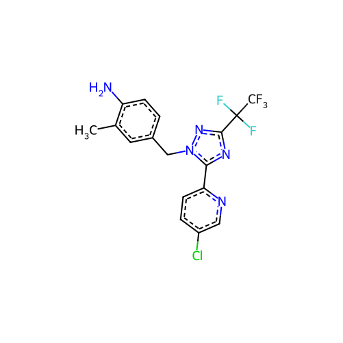 Cc1cc(Cn2nc(C(F)(F)C(F)(F)F)nc2-c2ccc(Cl)cn2)ccc1N